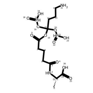 C[C@H](NC(=O)CCCC(=O)OC(CCCN)(O[PH](=O)O)O[PH](=O)O)C(=O)O